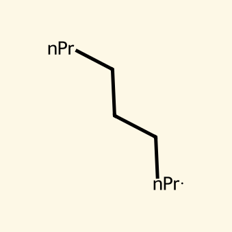 [CH2]CCCCC[CH]CC